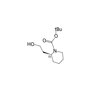 CC(C)(C)OC(=O)N1CCCC[C@H]1CCO